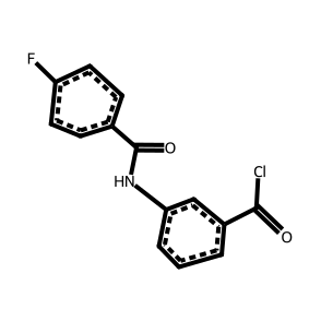 O=C(Cl)c1cccc(NC(=O)c2ccc(F)cc2)c1